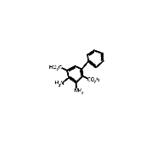 Nc1c(C(=O)O)cc(-c2ccccc2)c(C(=O)O)c1N